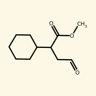 COC(=O)C(CC=O)C1CCCCC1